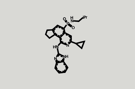 CC(C)CNS(=O)(=O)c1cc2c(c3c(Nc4nc5ccccc5[nH]4)nc(C4CC4)cc13)CCC2